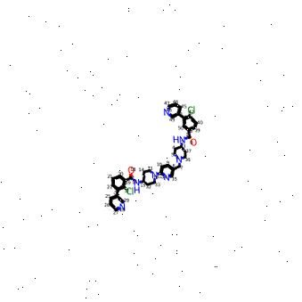 O=C(NC1CCN(Cc2ccc(N3CCC(NC(=O)c4cccc(-c5cccnc5)c4Cl)CC3)nc2)CC1)c1ccc(Cl)c(-c2cccnc2)c1